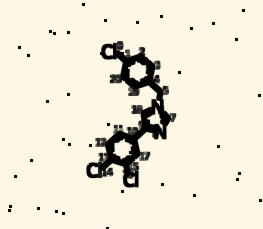 Clc1ccc(Cn2cnc(-c3ccc(Cl)c(Cl)c3)c2)cc1